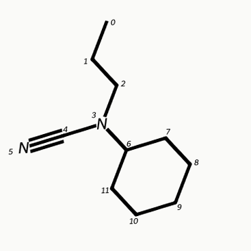 CCCN(C#N)C1CCCCC1